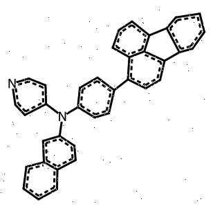 c1ccc2c(c1)-c1cccc3c(-c4ccc(N(c5ccncc5)c5ccc6ccccc6c5)cc4)ccc-2c13